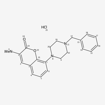 CNc1cc2cccc(N3CCN(Cc4ccccc4)CC3)c2oc1=O.Cl